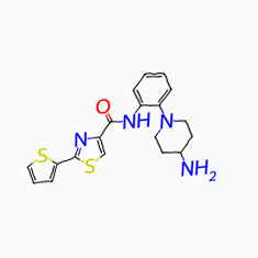 NC1CCN(c2ccccc2NC(=O)c2csc(-c3cccs3)n2)CC1